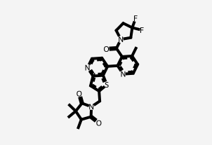 Cc1ccnc(-c2ccnc3cc(CN4C(=O)C(C)C(C)(C)C4=O)sc23)c1C(=O)N1CCC(F)(F)C1